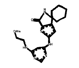 COCCNc1cc(Nc2cc3c(s2)C(=O)NC32CCCCC2)ncn1